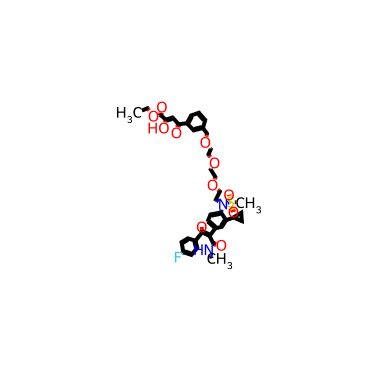 CCOC(=O)C(O)=CC(=O)c1cccc(COCCOCCOCCN(c2cc3oc(-c4ccc(F)cc4)c(C(=O)NC)c3cc2C2CC2)S(C)(=O)=O)c1